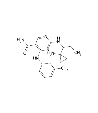 CCC(Nc1ncc(C(N)=O)c(NC2C=CC=C(C)C2)n1)C1(N)CC1